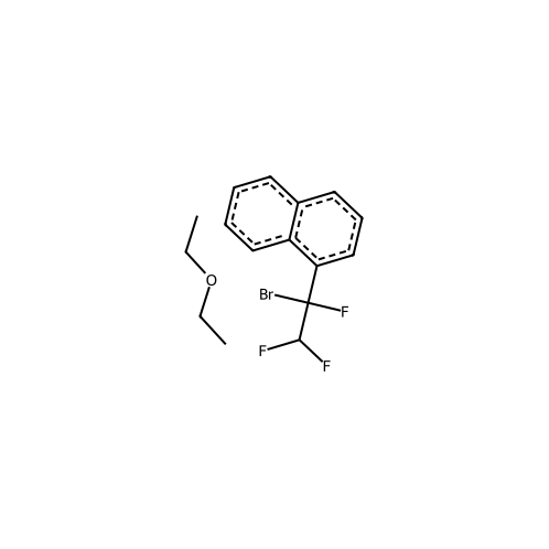 CCOCC.FC(F)C(F)(Br)c1cccc2ccccc12